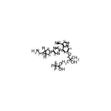 CC(C)(O)COc1cc(-c2cnc(N3C[C@@H]4C(CN)[C@@H]4C3)cn2)c2c(C#N)cnn2c1.O=C(O)C(F)(F)F